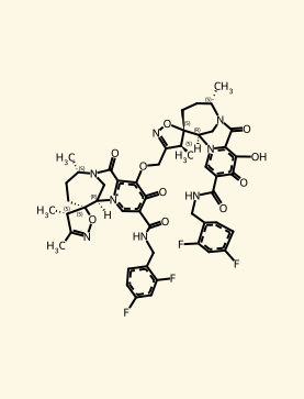 CC1=NO[C@@]2(CC[C@H](C)N3C[C@H]2n2cc(C(=O)NCc4ccc(F)cc4F)c(=O)c(OCC4=NO[C@@]5(CC[C@H](C)N6C[C@H]5n5cc(C(=O)NCc7ccc(F)cc7F)c(=O)c(O)c5C6=O)[C@H]4C)c2C3=O)[C@H]1C